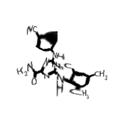 Cc1cc(C)c(Nc2nc(Nc3ccc(C#N)cc3)nc(C(N)=O)n2)c(C)c1